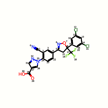 N#Cc1cc(C2=NOC(c3cc(Cl)cc(Cl)c3)(C(F)(F)F)C2)ccc1-n1cc(C(=O)O)cn1